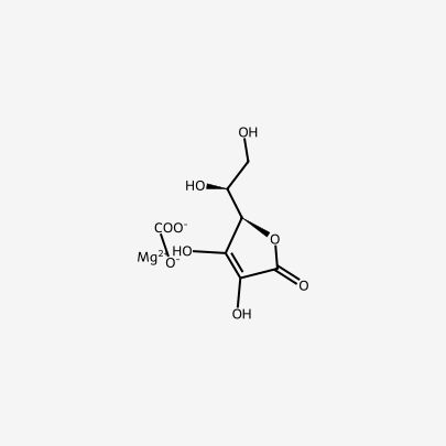 O=C([O-])[O-].O=C1O[C@H]([C@@H](O)CO)C(O)=C1O.[Mg+2]